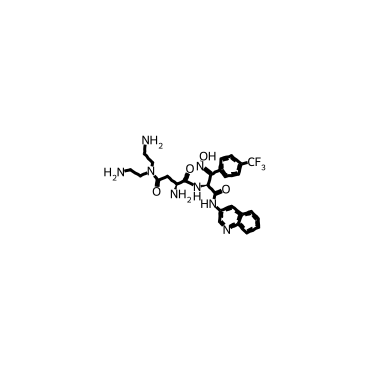 NCCN(CCN)C(=O)C[C@H](N)C(=O)N[C@H](C(=O)Nc1cnc2ccccc2c1)C(=NO)c1ccc(C(F)(F)F)cc1